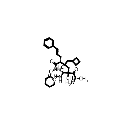 C[C@@H](N)C(=O)C(C)(C[C@@](C)(CC1CCC1)[C@H](C/C=C/c1ccccc1)C(=O)NOC1CCCCO1)C(=O)NN